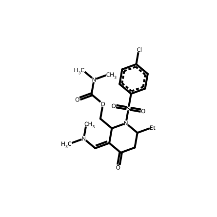 CCC1CC(=O)/C(=C/N(C)C)C(COC(=O)N(C)C)N1S(=O)(=O)c1ccc(Cl)cc1